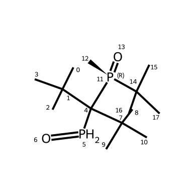 CC(C)(C)C([PH2]=O)(C(C)(C)C)[P@](C)(=O)C(C)(C)C